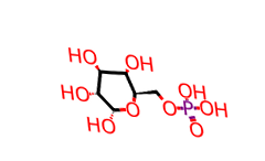 O=P(O)(O)OC[C@H]1O[C@H](O)[C@H](O)[C@@H](O)[C@H]1O